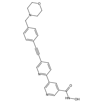 O=C(NO)c1cncc(-c2ccc(C#Cc3ccc(CN4CCOCC4)cc3)cn2)c1